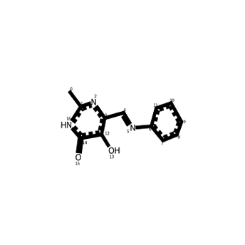 Cc1nc(/C=N/c2ccccc2)c(O)c(=O)[nH]1